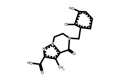 Cc1c(C(=O)O)nn2c1C(=O)N(Cc1cccc(O)c1Cl)CC2